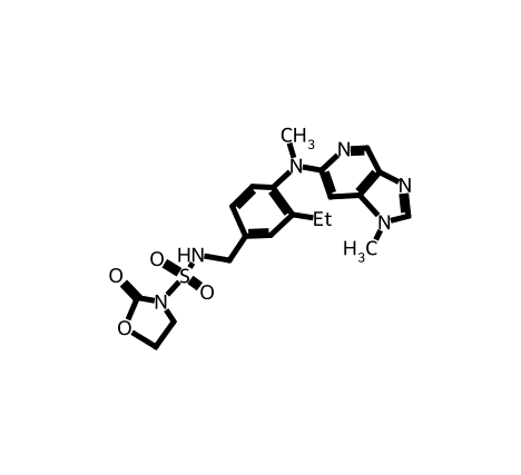 CCc1cc(CNS(=O)(=O)N2CCOC2=O)ccc1N(C)c1cc2c(cn1)ncn2C